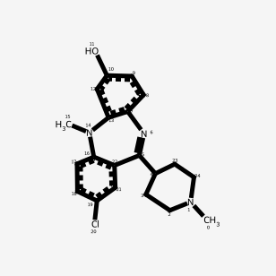 CN1CCC(C2=Nc3ccc(O)cc3N(C)c3ccc(Cl)cc32)CC1